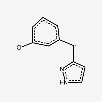 Clc1cccc([CH]c2cc[nH]n2)c1